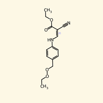 CCOOCc1ccc(N/C=C(/C#N)C(=O)OCC)cc1